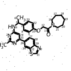 Cc1nc(NC(C)c2ccc(OCC(=O)N3CCCCCC3)cc2)cc(-c2ccc3ncsc3c2)n1